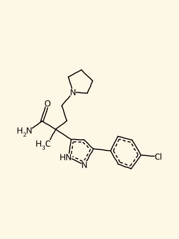 CC(CCN1CCCC1)(C(N)=O)c1cc(-c2ccc(Cl)cc2)n[nH]1